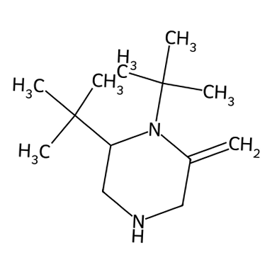 C=C1CNCC(C(C)(C)C)N1C(C)(C)C